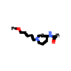 CC(C)OCCCCCN1CCCC(NC(=O)C(C)C)CC1